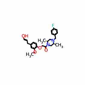 COc1cc(CC=CO)ccc1OCC(=O)N1C[C@H](C)N(Cc2ccc(F)cc2)C[C@H]1C